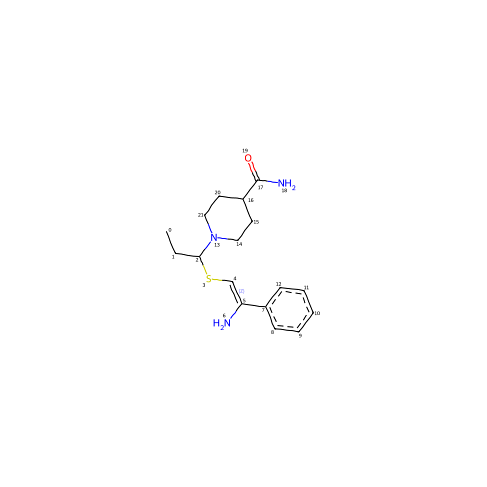 CCC(S/C=C(\N)c1ccccc1)N1CCC(C(N)=O)CC1